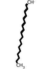 [CH]=C/C=C/C=C/C=C/C=C/CCCCCCCCC